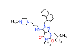 CC(C)Cn1c(=O)n(C)c(=O)c2c(NCCCN3CCN(C)CC3)n(Cc3cccc4ccccc34)nc21